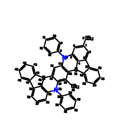 CC(C)(C)c1cc2c3c(c1)N(c1ccccc1)c1cc4c(c(C(C)(C)C)c1B3c1ccccc1-2)N(c1ccccc1)c1cccc2c1B4c1ccccc1-2